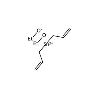 C=C[CH2][Sn+2][CH2]C=C.CC[O-].CC[O-]